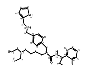 CC(C)CN(CCCCN(Cc1ccc(CNCc2ncc[nH]2)cc1)C(=O)NC1CCCc2cccnc21)CC(C)C